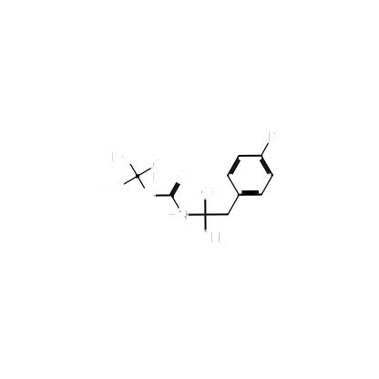 CC(C)(Cc1ccc(Br)cc1)NC(=O)OC(C)(C)C